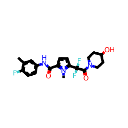 Cc1cc(NC(=O)c2ccc(C(F)(F)C(=O)N3CCC(O)CC3)n2C)ccc1F